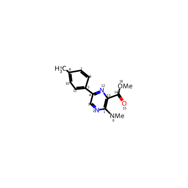 CNc1ncc(-c2ccc(C)cc2)nc1C(=O)OC